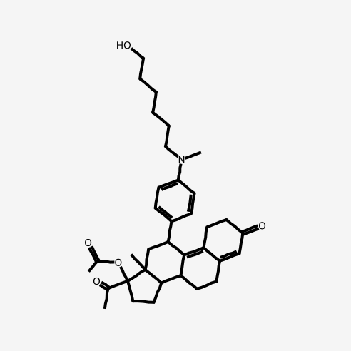 CC(=O)OC1(C(C)=O)CCC2C3CCC4=CC(=O)CCC4=C3C(c3ccc(N(C)CCCCCCO)cc3)CC21C